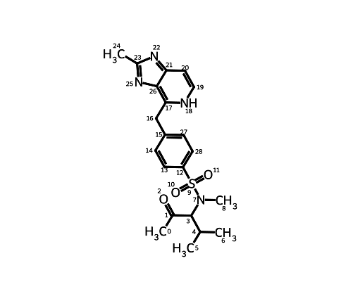 CC(=O)C(C(C)C)N(C)S(=O)(=O)c1ccc(Cc2[nH]ccc3nc(C)nc2-3)cc1